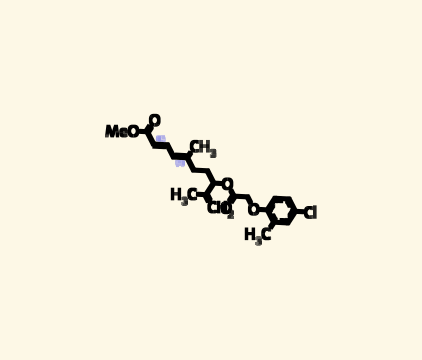 C=C(C)C(CC/C(C)=C/C=C/C(=O)OC)OC(=O)COc1ccc(Cl)cc1C